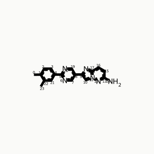 Cc1ccc(-c2ncc(-c3cn4nc(N)ccc4n3)cn2)cc1C